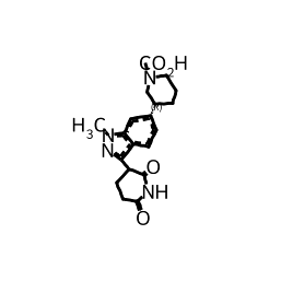 Cn1nc(C2CCC(=O)NC2=O)c2ccc([C@H]3CCCN(C(=O)O)C3)cc21